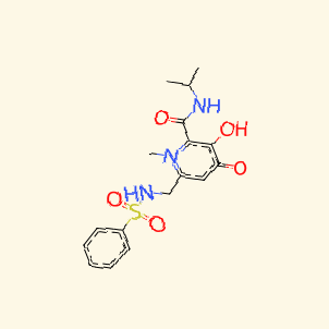 CC(C)NC(=O)c1c(O)c(=O)cc(CNS(=O)(=O)c2ccccc2)n1C